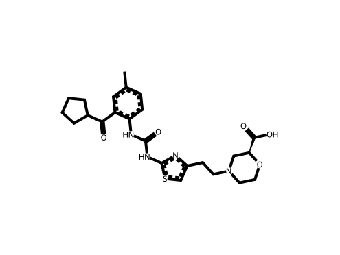 Cc1ccc(NC(=O)Nc2nc(CCN3CCO[C@H](C(=O)O)C3)cs2)c(C(=O)C2CCCC2)c1